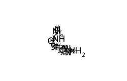 Cc1cn(C)nc1CNC(=O)c1cc(-c2ccc3nc(N)nn3c2)cs1